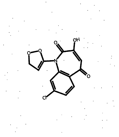 O=c1cc(O)c(=O)n(C2=CCOO2)c2cc(Cl)ccc12